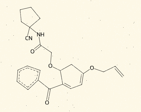 C=CCOC1=CC=C(C(=O)c2ccccc2)C(OCC(=O)NC2(C#N)CCCC2)C1